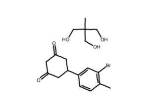 CC(CO)(CO)CO.Cc1ccc(C2CC(=O)CC(=O)C2)cc1Br